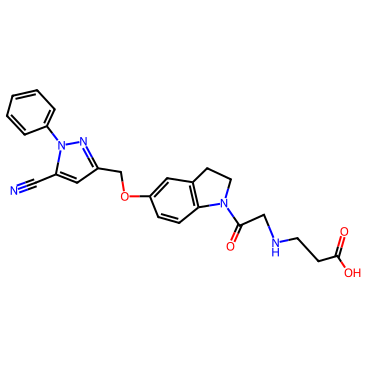 N#Cc1cc(COc2ccc3c(c2)CCN3C(=O)CNCCC(=O)O)nn1-c1ccccc1